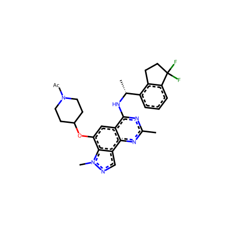 CC(=O)N1CCC(Oc2cc3c(N[C@H](C)c4cccc5c4CCC5(F)F)nc(C)nc3c3cnn(C)c23)CC1